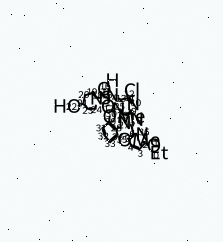 CCOc1cccc(-c2nc3nc(Cl)c(NS(=O)(=O)N4CCC(O)CC4)nc3n2-c2c(OC)cccc2OC)n1